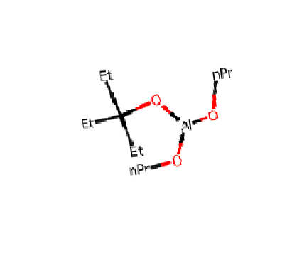 CCC[O][Al]([O]CCC)[O]C(CC)(CC)CC